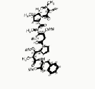 CC[C@H](C)[C@@H]([C@@H](CC(=O)N1CCC[C@H]1[C@H](OC)[C@@H](C)C(=O)N[C@@H](Cc1ccccc1)C(=O)OC)OC)N(C)C(=O)[C@@H]1C[C@H](C)CN1C(=O)[C@H](C(C)C)N(C)C